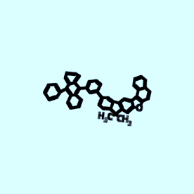 CC1(C)c2ccc(-c3cccc(-c4c5ccccc5c(-c5ccccc5)c5ccccc45)c3)cc2-c2cc3c(cc21)oc1ccc2ccccc2c13